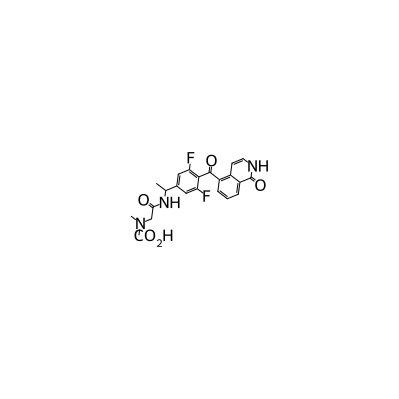 CC(NC(=O)CN(C)C(=O)O)c1cc(F)c(C(=O)c2cccc3c(=O)[nH]ccc23)c(F)c1